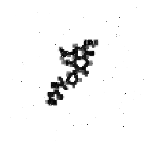 CC(C)(C)OC(=O)NC(C)(C)[C@H]1CCN(c2c(F)cc3c(=O)c(C(=O)O)cn(C4CC4)c3c2F)C1